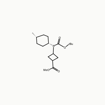 COC(=O)C1CC(N(C(=O)OC(C)(C)C)[C@H]2CC[C@@H](C)CC2)C1